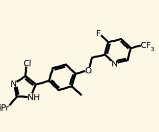 Cc1cc(-c2[nH]c(C(C)C)nc2Cl)ccc1OCc1ncc(C(F)(F)F)cc1F